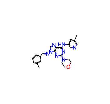 Cc1cccc(C=Nn2cnc3c(Nc4cncc(C)c4)nc(N4CCOCC4)nc32)c1